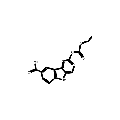 CCOC(=O)Oc1ncc2[nH]c3ccc(C(=O)O)cc3c2n1